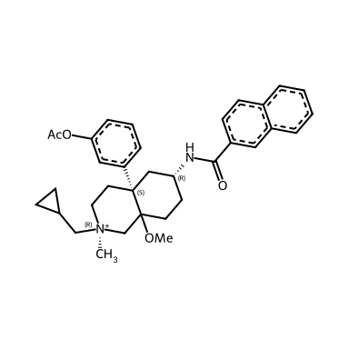 COC12CC[C@@H](NC(=O)c3ccc4ccccc4c3)C[C@]1(c1cccc(OC(C)=O)c1)CC[N@+](C)(CC1CC1)C2